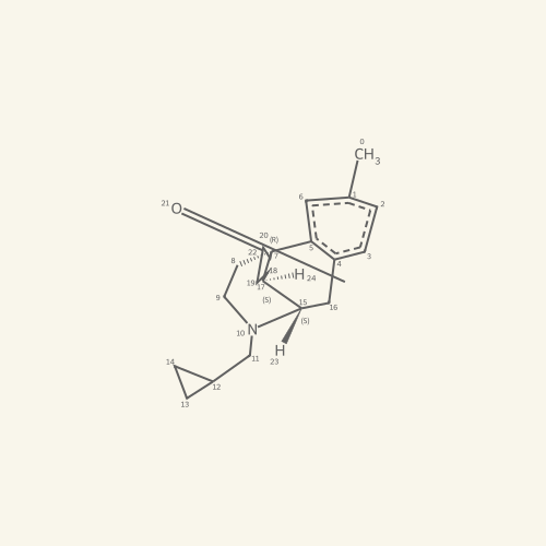 Cc1ccc2c(c1)[C@@]13CCN(CC4CC4)[C@@H](C2)[C@H]1CCC(=O)C3